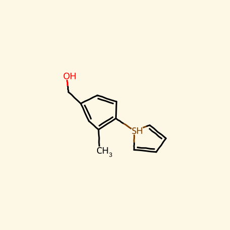 Cc1cc(CO)ccc1[SH]1C=CC=C1